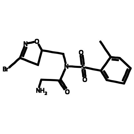 Cc1ccccc1S(=O)(=O)N(CC1CC(Br)=NO1)C(=O)CN